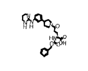 O=C(N[C@@H](CCC(=O)N1CCC(c2cccc(NC3=NCCCN3)c2)CC1)C(=O)O)OCc1ccccc1